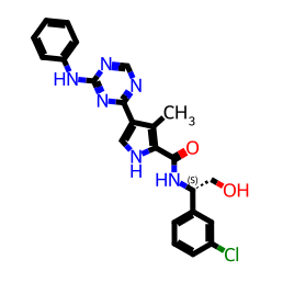 Cc1c(-c2ncnc(Nc3ccccc3)n2)c[nH]c1C(=O)N[C@H](CO)c1cccc(Cl)c1